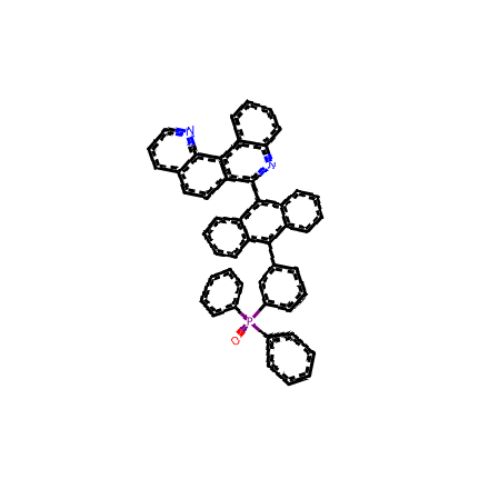 O=P(c1ccccc1)(c1ccccc1)c1cccc(-c2c3ccccc3c(-c3nc4ccccc4c4c3ccc3cccnc34)c3ccccc23)c1